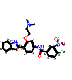 CN(C)CCOc1cc(NC(=O)c2ccc(F)c([N+](=O)[O-])c2)ccc1-c1nc2ccccc2s1